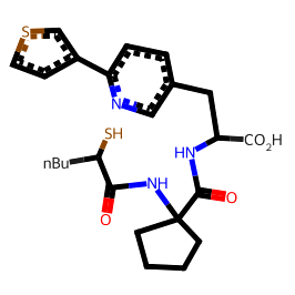 CCCCC(S)C(=O)NC1(C(=O)NC(Cc2ccc(-c3ccsc3)nc2)C(=O)O)CCCC1